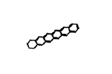 c1ccc2cc3cc4cc5cc6c(cc5cc4cc3cc2c1)CCCC6